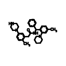 Cc1ccc(C(NC(=O)Cc2cc(N3CCNCC3)ccc2C)c2ccccc2)c(N2CCCCC2)c1